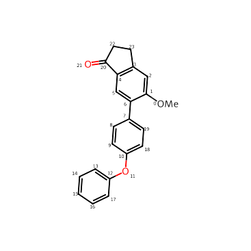 COc1cc2c(cc1-c1ccc(Oc3ccccc3)cc1)C(=O)CC2